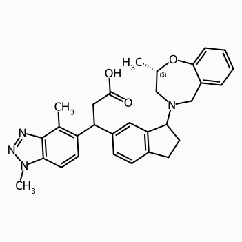 Cc1c(C(CC(=O)O)c2ccc3c(c2)C(N2Cc4ccccc4O[C@@H](C)C2)CC3)ccc2c1nnn2C